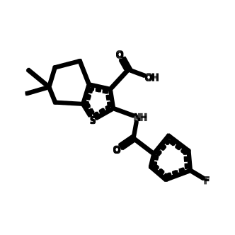 CC1(C)CCc2c(sc(NC(=O)c3ccc(F)cc3)c2C(=O)O)C1